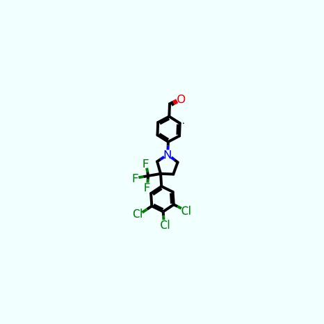 O=Cc1[c]cc(N2CCC(c3cc(Cl)c(Cl)c(Cl)c3)(C(F)(F)F)C2)cc1